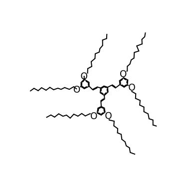 CCCCCCCCCCCCOc1cc(/C=C/c2cc(/C=C/c3cc(OCCCCCCCCCCCC)cc(OCCCCCCCCCCCC)c3)cc(/C=C/c3cc(OCCCCCCCCCCCC)cc(OCCCCCCCCCCCC)c3)c2)cc(OCCCCCCCCCCCC)c1